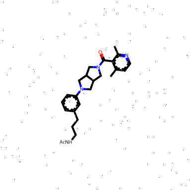 CC(=O)NCCCc1cccc(N2CC3CN(C(=O)c4c(C)ccnc4C)CC3C2)c1